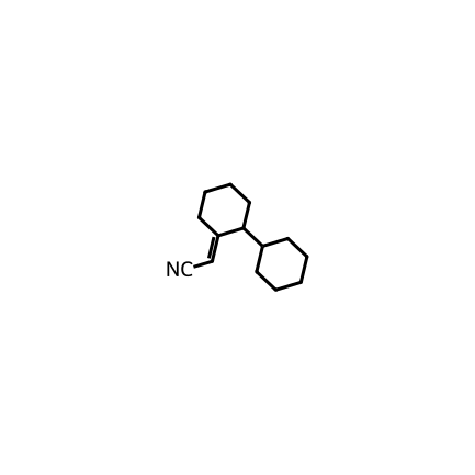 N#CC=C1CCCCC1C1CCCCC1